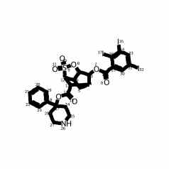 O=C(OC1C2CC3C1OS(=O)(=O)C3C2C(=O)OC1(c2ccccc2)CCNCC1)c1cc(I)cc(I)c1I